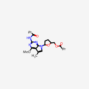 COc1nc(NC(=O)C(C)C)nc2c1c(C)cn2C1CCC(COC(=O)C(C)C)O1